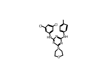 Cc1ccc(Nc2nc(Nc3cc(Cl)cc(Cl)c3)nc(N3CCOCC3)n2)cc1